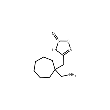 NCC1(CC2=NOS(=O)N2)CCCCCC1